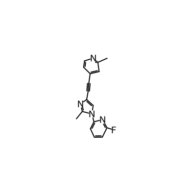 Cc1cc(C#Cc2cn(-c3cccc(F)n3)c(C)n2)ccn1